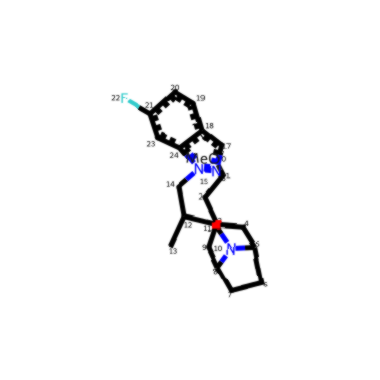 COCCC1CC2CCC(C1)N2CC(C)Cn1ncc2ccc(F)cc21